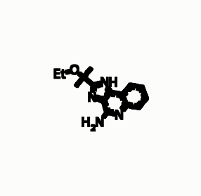 CCOC(C)(C)c1nc2c(N)nc3ccccc3c2[nH]1